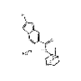 Cl.Cl.O=C(N[C@H]1CN2CCC1CC2)c1cc2cc(Br)cn2cn1